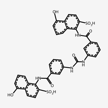 O=C(Nc1cccc(C(=O)Nc2c(S(=O)(=O)O)ccc3c(O)cccc23)c1)Nc1cccc(C(=O)Nc2c(S(=O)(=O)O)ccc3c(O)cccc23)c1